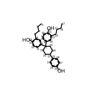 CCCCc1cc(C2(c3ccc(O)c(CCCC)c3)CCC(c3ccc(O)cc3)CC2)ccc1O